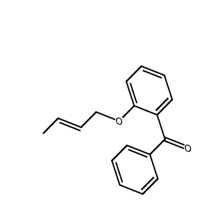 C/C=C/COc1ccccc1C(=O)c1ccccc1